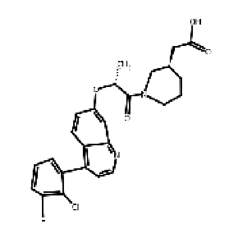 C[C@@H](Oc1ccc2c(-c3cccc(F)c3Cl)ccnc2c1)C(=O)N1CCC[C@H](CC(=O)O)C1